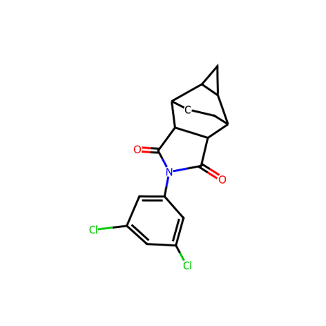 O=C1C2C3CCC(C4CC43)C2C(=O)N1c1cc(Cl)cc(Cl)c1